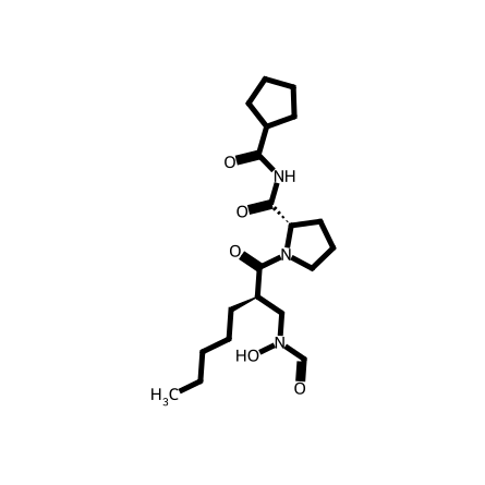 CCCCC[C@H](CN(O)C=O)C(=O)N1CCC[C@H]1C(=O)NC(=O)C1CCCC1